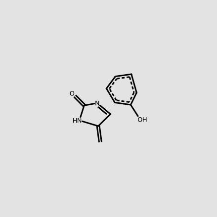 C=C1C=NC(=O)N1.Oc1ccccc1